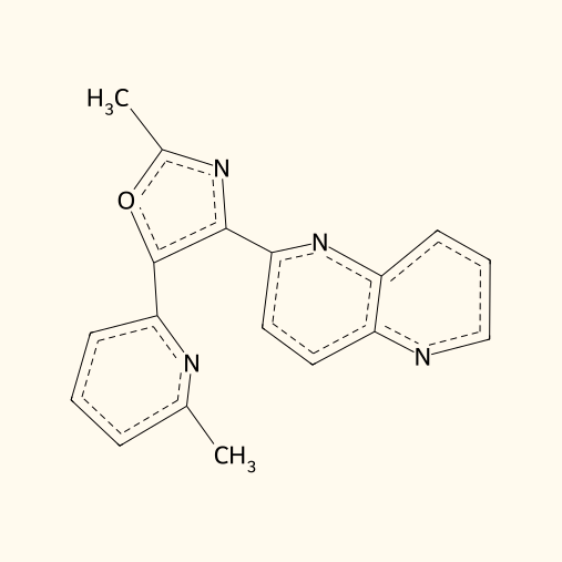 Cc1cccc(-c2oc(C)nc2-c2ccc3ncccc3n2)n1